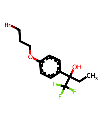 CCC(O)(c1ccc(OCCCBr)cc1)C(F)(F)F